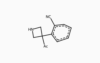 CC(=O)C1(c2ccccc2C#N)CNC1